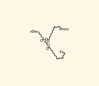 CC/C=C\C/C=C\C/C=C\CCCCCCCC(=O)OCC(COC(=O)CCCCCCCCCCCCCCC)OC(=O)CCCCCCC/C=C\C/C=C\CCCCC